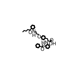 CCCCC(=O)c1ccccc1NCCCOc1ccc(CC(Nc2ccccc2OC(=O)c2ccccc2)C(=O)O)cc1